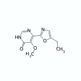 CCc1cnc(-c2nc[nH]c(=O)c2OC)o1